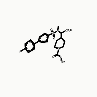 CN(C(C(=O)O)C1CCN(C(=O)OC(C)(C)C)CC1)S(=O)(=O)c1ccc(-c2ccc(F)cc2)cc1